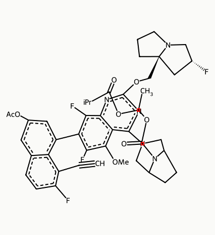 C#Cc1c(F)ccc2cc(OC(C)=O)cc(-c3c(F)c(OC)c4c(N5CC6CCC(C5)N6C(=O)OC(C)OC(=O)C(C)C)nc(OC[C@@]56CCCN5C[C@H](F)C6)nc4c3F)c12